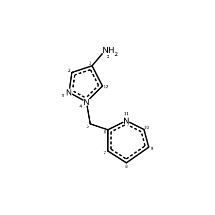 Nc1cnn(Cc2ccccn2)c1